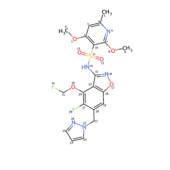 COc1cc(C)nc(OC)c1S(=O)(=O)Nc1noc2cc(Cn3cccn3)c(F)c(OCF)c12